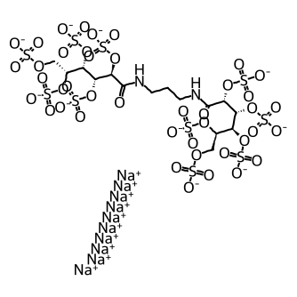 O=C(NCCCNC(=O)[C@H](OS(=O)(=O)[O-])[C@H](OS(=O)(=O)[O-])[C@@H](OS(=O)(=O)[O-])[C@@H](COS(=O)(=O)[O-])OS(=O)(=O)[O-])[C@H](OS(=O)(=O)[O-])[C@H](OS(=O)(=O)[O-])[C@@H](OS(=O)(=O)[O-])[C@@H](COS(=O)(=O)[O-])OS(=O)(=O)[O-].[Na+].[Na+].[Na+].[Na+].[Na+].[Na+].[Na+].[Na+].[Na+].[Na+]